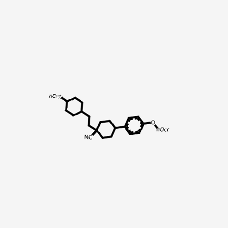 CCCCCCCCOc1ccc(C2CCC(C#N)(CCC3CCC(CCCCCCCC)CC3)CC2)cc1